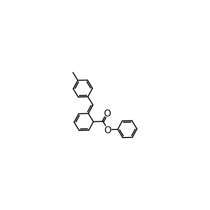 Cc1ccc(C=C2C=CC=CC2C(=O)Oc2ccccc2)cc1